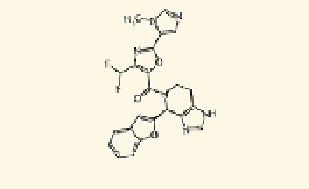 Cn1cncc1-c1nc(C(F)F)c(C(=O)N2CCc3[nH]cnc3[C@H]2c2cc3ccccc3o2)o1